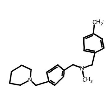 [CH2]c1ccc(CN(C)Cc2ccc(CN3CCCCC3)cc2)cc1